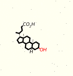 CC(CCC(=O)O)[C@H]1CCC2C3CC[C@@H]4C[C@H](O)CC[C@]4(C)C3CC[C@@]21C